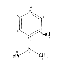 CCCN(C)c1ccncc1.Cl